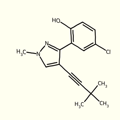 Cn1cc(C#CC(C)(C)C)c(-c2cc(Cl)ccc2O)n1